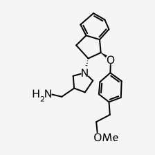 COCCc1ccc(O[C@@H]2c3ccccc3C[C@H]2N2CCC(CN)C2)cc1